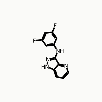 Fc1cc(F)cc(Nc2n[nH]c3cccnc23)c1